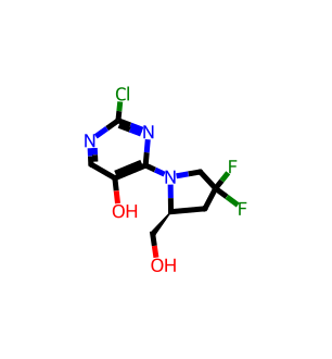 OC[C@@H]1CC(F)(F)CN1c1nc(Cl)ncc1O